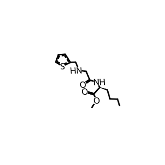 CCCC[C@H](NC(=O)CNCc1cccs1)C(=O)OC